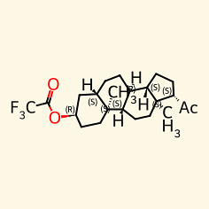 CC(=O)[C@H]1CC[C@H]2[C@@H]3CC[C@H]4C[C@H](OC(=O)C(F)(F)F)CC[C@]4(C)[C@H]3CC[C@]12C